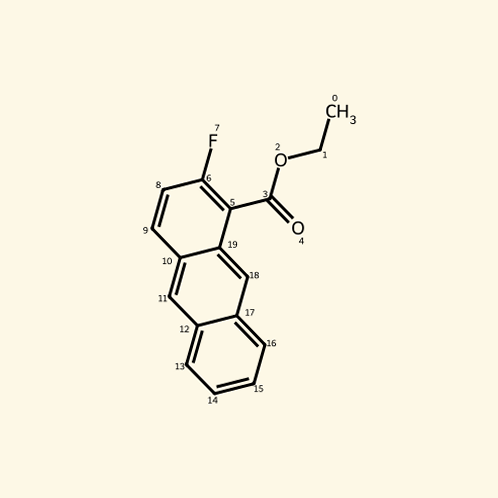 CCOC(=O)c1c(F)ccc2cc3ccccc3cc12